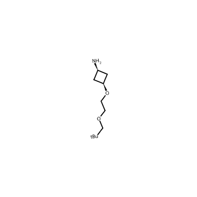 CC(C)(C)COCCO[C@H]1C[C@@H](N)C1